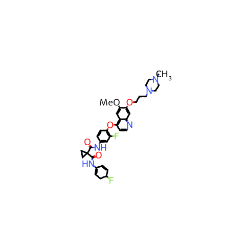 COc1cc2c(Oc3ccc(NC(=O)C4(C(=O)NC5=CCC(F)C=C5)CC4)cc3F)ccnc2cc1OCCCN1CCN(C)CC1